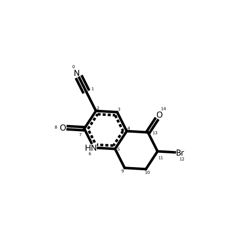 N#Cc1cc2c([nH]c1=O)CCC(Br)C2=O